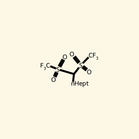 CCCCCCCC(S(=O)(=O)C(F)(F)F)S(=O)(=O)C(F)(F)F